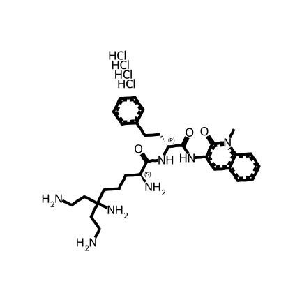 Cl.Cl.Cl.Cl.Cn1c(=O)c(NC(=O)[C@@H](CCc2ccccc2)NC(=O)[C@@H](N)CCCC(N)(CCN)CCN)cc2ccccc21